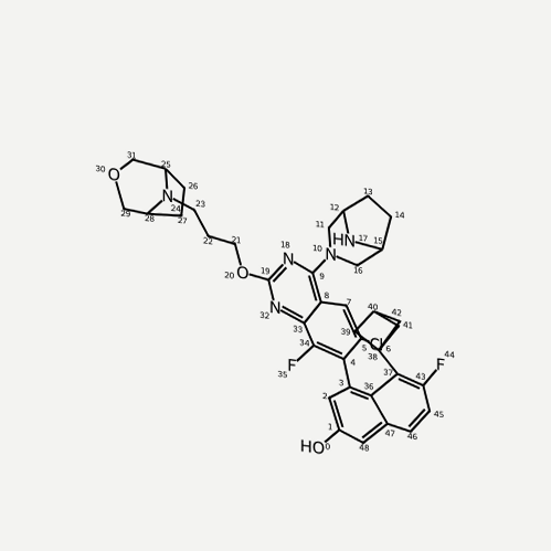 Oc1cc(-c2c(Cl)cc3c(N4CC5CCC(C4)N5)nc(OCCCN4C5CCC4COC5)nc3c2F)c2c(C34CC(C3)C4)c(F)ccc2c1